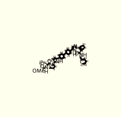 COC(=O)N[C@H](C(=O)N1CCC[C@H]1c1ncc(-c2ccc(-c3ccc(-c4cnc([C@@H]5C6CCC(C6)[C@H]5C(=O)NCc5ccccc5)[nH]4)cc3)cc2)[nH]1)C(C)C